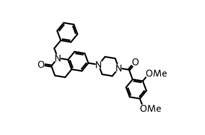 COc1ccc(C(=O)N2CCN(c3ccc4c(c3)CCC(=O)N4Cc3ccccc3)CC2)c(OC)c1